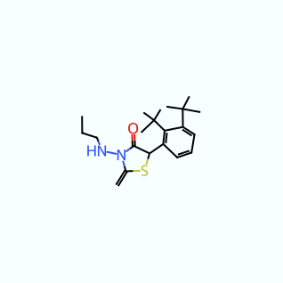 C=C1SC(c2cccc(C(C)(C)C)c2C(C)(C)C)C(=O)N1NCCC